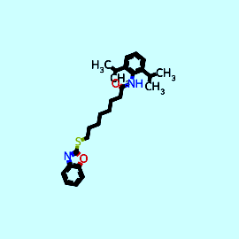 CC(C)c1cccc(C(C)C)c1NC(=O)CCCCCCCSc1nc2ccccc2o1